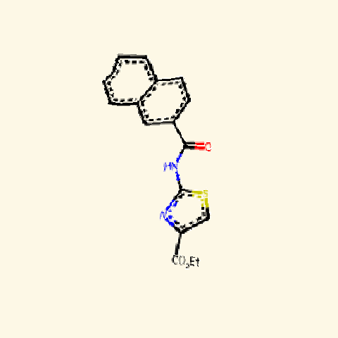 CCOC(=O)c1csc(NC(=O)c2ccc3ccccc3c2)n1